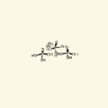 C.N.O=P(O)(O)O.O=P(O)(O)O.O=P(O)(O)O